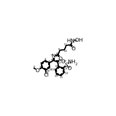 COc1ccc(-c2nc(CCCC(=O)NO)oc2-c2ccccc2S(N)(=O)=O)cc1Cl